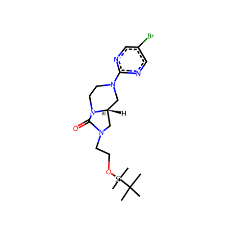 CC(C)(C)[Si](C)(C)OCCN1C[C@H]2CN(c3ncc(Br)cn3)CCN2C1=O